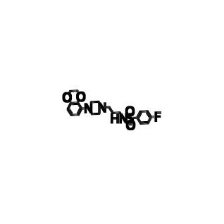 O=S(=O)(NCCCN1CCN(c2cccc3c2OCCO3)CC1)c1ccc(F)cc1